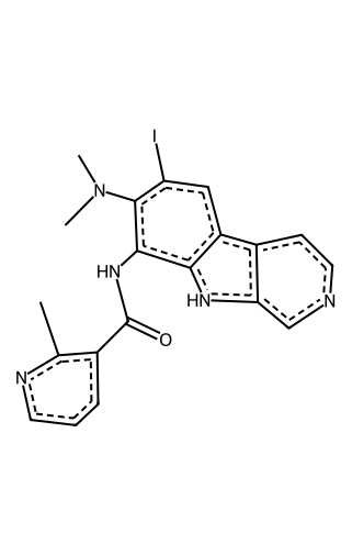 Cc1ncccc1C(=O)Nc1c(N(C)C)c(I)cc2c1[nH]c1cnccc12